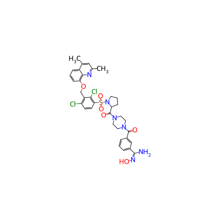 Cc1cc(C)c2cccc(OCc3c(Cl)ccc(S(=O)(=O)N4CCCC4C(=O)N4CCN(C(=O)c5cccc(/C(N)=N\O)c5)CC4)c3Cl)c2n1